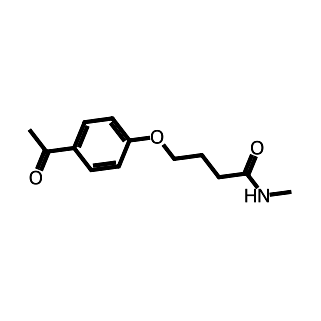 CNC(=O)CCCOc1ccc(C(C)=O)cc1